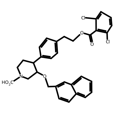 O=C(OCCc1ccc(C2CCN(C(=O)O)CC2OCc2ccc3ccccc3c2)cc1)c1c(Cl)cccc1Cl